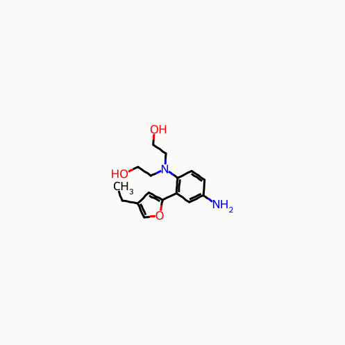 CCc1coc(-c2cc(N)ccc2N(CCO)CCO)c1